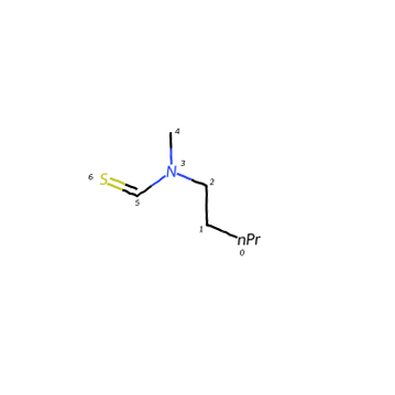 CCCCCN(C)C=S